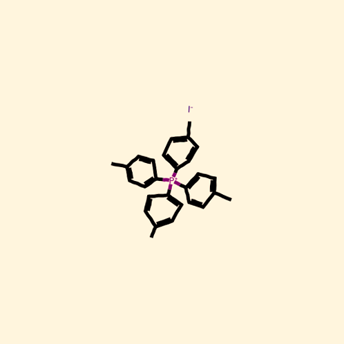 Cc1ccc([P+](c2ccc(C)cc2)(c2ccc(C)cc2)c2ccc(C)cc2)cc1.[I-]